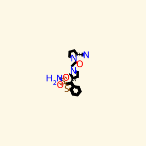 N#C[C@@H]1CCCN1C(=O)CN1CC[C@@H](c2c(S(N)(=O)=O)sc3ccccc23)C1